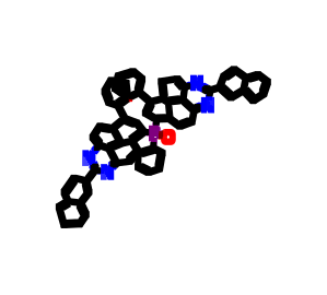 O=P(c1ccccc1)(c1cc(-c2ccccc2)c2ccc3nc(-c4ccc5ccccc5c4)nc4ccc1c2c34)c1cc(-c2ccccc2)c2ccc3nc(-c4ccc5ccccc5c4)nc4ccc1c2c34